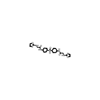 O=C(CNc1ncco1)Nc1ccc(S(=O)(=O)c2ccc(NC(=O)CNc3ncco3)cc2)cc1